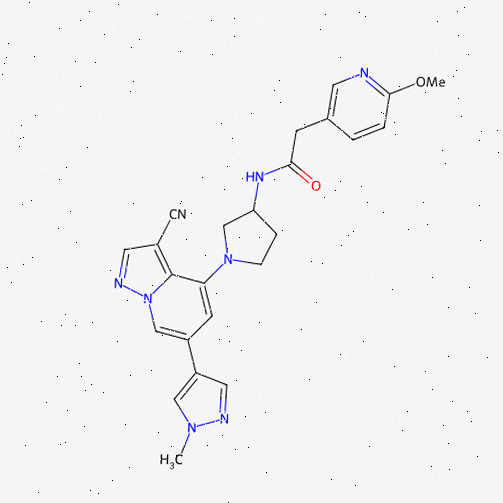 COc1ccc(CC(=O)NC2CCN(c3cc(-c4cnn(C)c4)cn4ncc(C#N)c34)C2)cn1